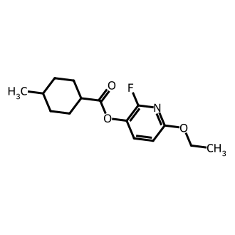 CCOc1ccc(OC(=O)C2CCC(C)CC2)c(F)n1